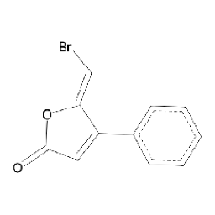 O=C1C=C(c2ccccc2)C(=CBr)O1